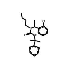 CCCCN(C(=O)NC(C)(C)c1ccccc1)C(C)c1ccccc1Cl